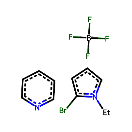 CCn1cccc1Br.F[B-](F)(F)F.c1ccncc1